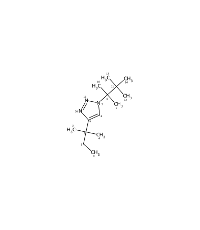 CCC(C)(C)c1cn(C(C)(C)C(C)(C)C)nn1